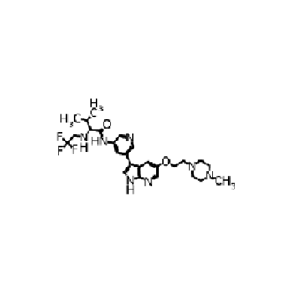 CC(C)[C@H](NCC(F)(F)F)C(=O)Nc1cncc(-c2c[nH]c3ncc(OCCN4CCN(C)CC4)cc23)c1